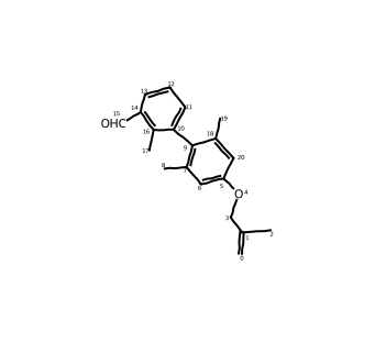 C=C(C)COc1cc(C)c(-c2cccc(C=O)c2C)c(C)c1